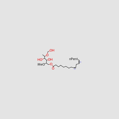 CCCCC/C=C\C/C=C\CCCCCCCC(=O)OCC(OC)C(O)C(O)C(C)OCO